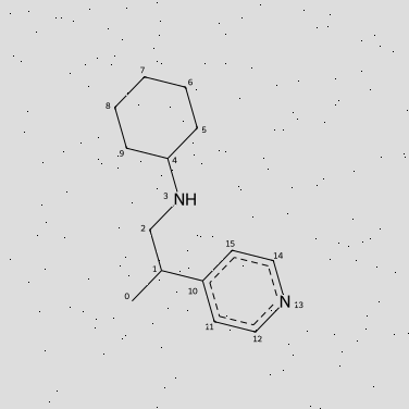 CC(CNC1CCCCC1)c1ccncc1